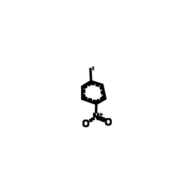 [CH]c1ccc([N+](=O)[O-])cc1